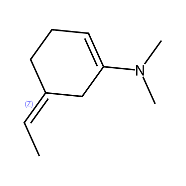 C/C=C1/CCC=C(N(C)C)C1